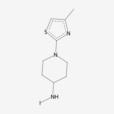 Cc1csc(N2CCC(NI)CC2)n1